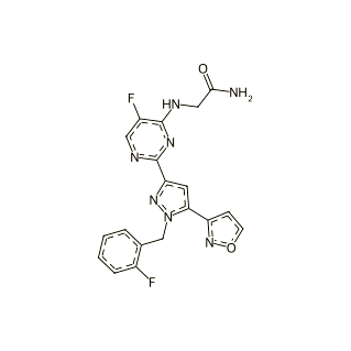 NC(=O)CNc1nc(-c2cc(-c3ccon3)n(Cc3ccccc3F)n2)ncc1F